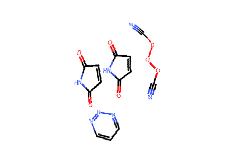 N#COOOC#N.O=C1C=CC(=O)N1.O=C1C=CC(=O)N1.c1cnnnc1